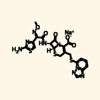 CO/N=C(\C(=O)N[C@@H]1C(=O)N2C(C(=O)[O-])=C(CSc3cccc4ncnn34)CS[C@@H]12)c1csc(N)n1.[Na+]